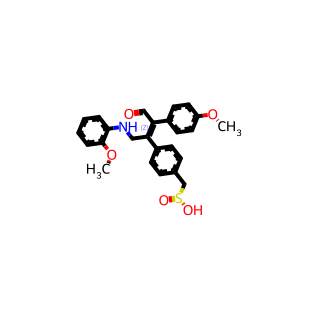 COc1ccc(/C(C=O)=C(/CNc2ccccc2OC)c2ccc(CS(=O)O)cc2)cc1